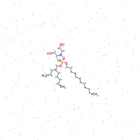 CCCCCCCCCCCCOP(=O)(OCC(CCC)CCCCC)ON(CCO)CCO